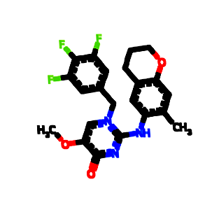 COc1cn(Cc2cc(F)c(F)c(F)c2)c(Nc2cc3c(cc2C)OCCC3)nc1=O